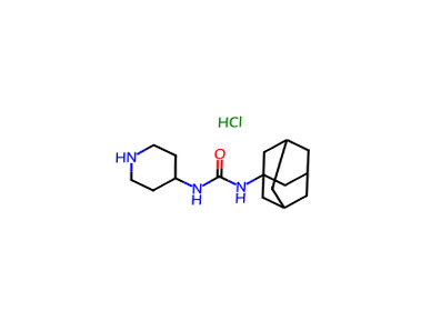 Cl.O=C(NC1CCNCC1)NC12CC3CC(CC(C3)C1)C2